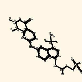 C[C@H](CCS(C)(=O)=O)Oc1ncc(C(C)(C)N)c2cc(Nc3ccc4c(n3)[C@@H](C)[C@H](C)OC4=O)ncc12